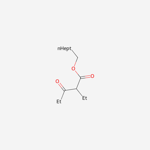 CCCCCCCCOC(=O)C(CC)C(=O)CC